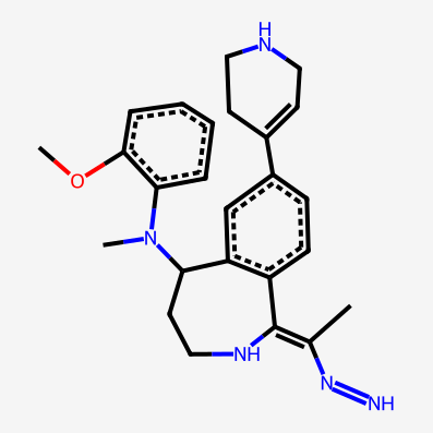 COc1ccccc1N(C)C1CCN/C(=C(/C)N=N)c2ccc(C3=CCNCC3)cc21